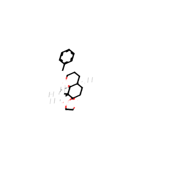 CC1(C)[C@@H]2O[C@H](Cc3ccccc3)CC[C@@]2(C)CCC12OCCO2